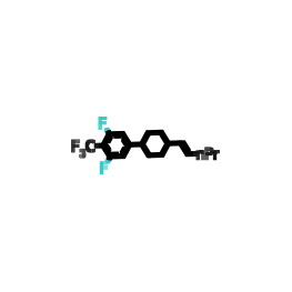 CCC/C=C/C1CCC(c2cc(F)c(C(F)(F)F)c(F)c2)CC1